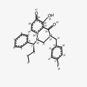 CCC[C@@H](c1ccccc1)N1CN(Cc2ccc(F)cc2)C(=O)c2c(O)c(=O)ccn21